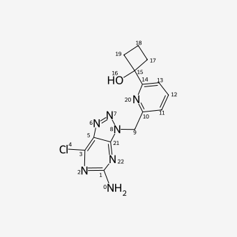 Nc1nc(Cl)c2nnn(Cc3cccc(C4(O)CCC4)n3)c2n1